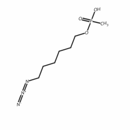 CP(=O)(O)OCCCCCCN=[N+]=[N-]